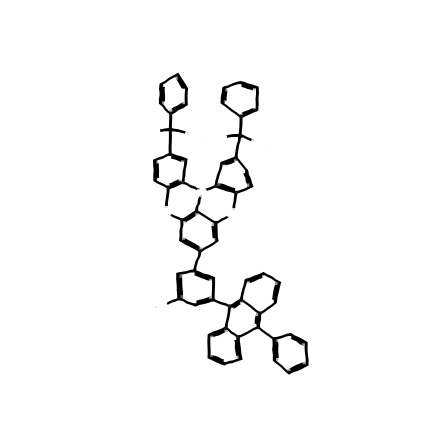 CC(C)(c1ccccc1)c1ccc2c(c1)B1c3cc(C(C)(C)c4ccccc4)ccc3Oc3cc(-c4cc(C#N)cc(-c5c6ccccc6c(-c6ccccc6)c6ccccc56)c4)cc(c31)O2